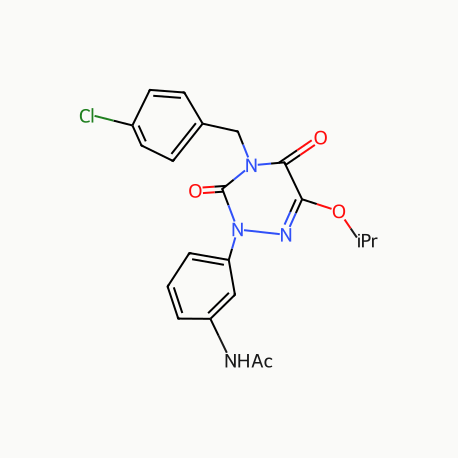 CC(=O)Nc1cccc(-n2nc(OC(C)C)c(=O)n(Cc3ccc(Cl)cc3)c2=O)c1